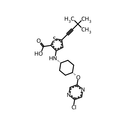 CC(C)(C)C#Cc1cc(N[C@H]2CC[C@@H](Oc3cnc(Cl)cn3)CC2)c(C(=O)O)s1